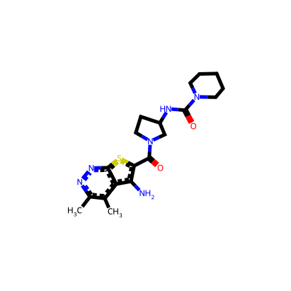 Cc1nnc2sc(C(=O)N3CCC(NC(=O)N4CCCCC4)C3)c(N)c2c1C